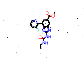 CCNC(=O)Nc1nc2cc(C(=O)OC)cc(-c3ncccc3F)c2[nH]1